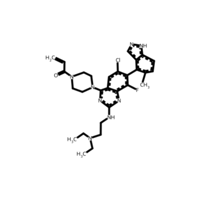 C=CC(=O)N1CCN(c2nc(NCCN(CC)CC)nc3c(F)c(-c4c(C)ccc5[nH]ncc45)c(Cl)cc23)CC1